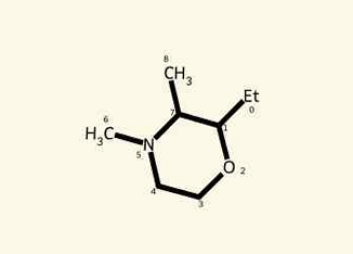 CCC1OCCN(C)C1C